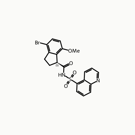 COc1ccc(Br)c2c1[C@@H](C(=O)NS(=O)(=O)c1cccc3ncccc13)CC2